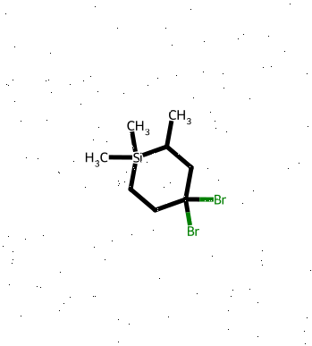 CC1CC(Br)(Br)CC[Si]1(C)C